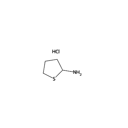 Cl.NC1CCCS1